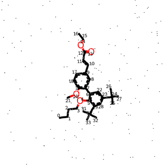 CCCCOc1c(-c2cc(/C=C/C(=O)OCC)ccc2OC)cc(C(C)(C)C)cc1C(C)(C)C